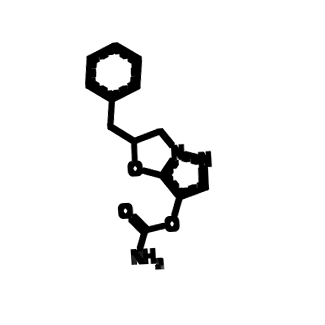 NC(=O)Oc1cnn2c1OC(Cc1ccccc1)C2